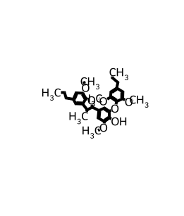 CCCc1cc(OC)c(Oc2cc(C3Oc4c(OC)cc(CCC)cc4C3C)cc(OC)c2O)c(OC)c1